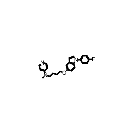 CN(CCCCOc1ccc2c(ccn2-c2ccc(F)cc2)c1)c1ccncc1